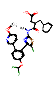 COc1ccc(-c2ccc(OC(F)F)cc2-c2nc(N(C)C(=O)C(CC(=O)O)CC3CCCC3)sc2F)cn1